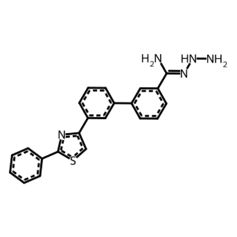 NN/N=C(\N)c1cccc(-c2cccc(-c3csc(-c4ccccc4)n3)c2)c1